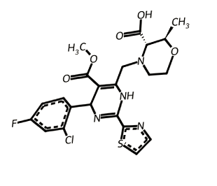 COC(=O)C1=C(CN2CCO[C@H](C)[C@H]2C(=O)O)NC(c2nccs2)=NC1c1ccc(F)cc1Cl